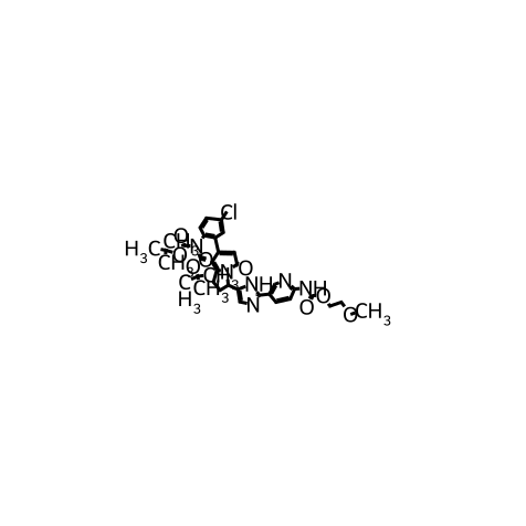 COCCOC(=O)Nc1ccc(-c2ncc(C3CCc4cc(-c5cc(Cl)ccc5N(C(=O)OC(C)(C)C)C(=O)OC(C)(C)C)cc(=O)n43)[nH]2)cn1